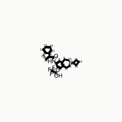 O=C(Nc1ccc2c(c1)CCN(C1CCC1)CC2)c1csc2ccccc12.O=C(O)C(F)(F)F